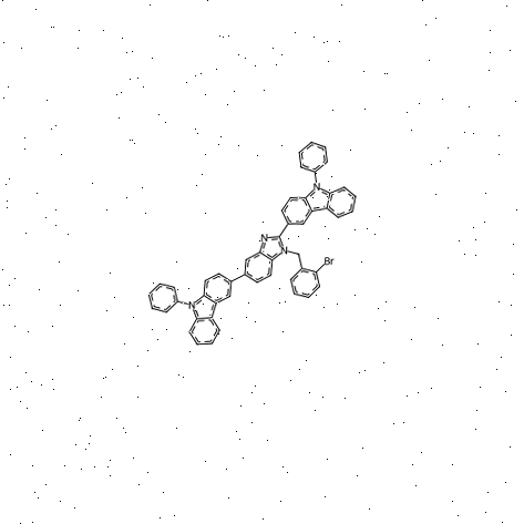 Brc1ccccc1Cn1c(-c2ccc3c(c2)c2ccccc2n3-c2ccccc2)nc2cc(-c3ccc4c(c3)c3ccccc3n4-c3ccccc3)ccc21